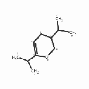 CC(C)C1=CCC(C(C)C)CO1